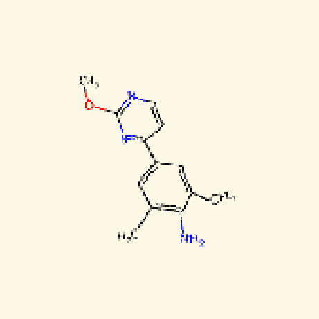 COc1nccc(-c2cc(C)c(N)c(C)c2)n1